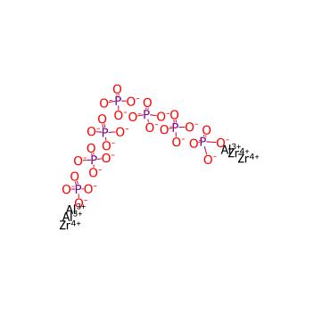 O=P([O-])([O-])[O-].O=P([O-])([O-])[O-].O=P([O-])([O-])[O-].O=P([O-])([O-])[O-].O=P([O-])([O-])[O-].O=P([O-])([O-])[O-].O=P([O-])([O-])[O-].[Al+3].[Al+3].[Al+3].[Zr+4].[Zr+4].[Zr+4]